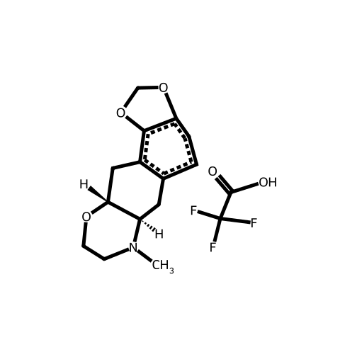 CN1CCO[C@@H]2Cc3c(ccc4c3OCO4)C[C@H]21.O=C(O)C(F)(F)F